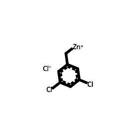 Clc1cc(Cl)cc([CH2][Zn+])c1.[Cl-]